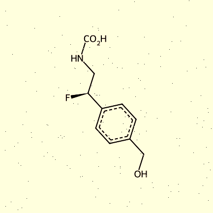 O=C(O)NC[C@H](F)c1ccc(CO)cc1